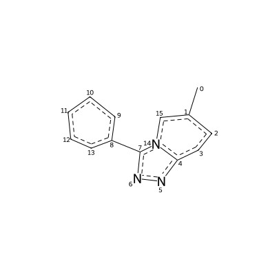 Cc1ccc2nnc(-c3ccccc3)n2c1